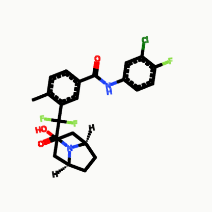 Cc1ccc(C(=O)Nc2ccc(F)c(Cl)c2)cc1C(F)(F)C(=O)N1[C@@H]2CC[C@H]1CC(O)C2